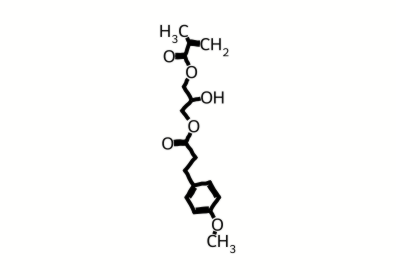 C=C(C)C(=O)OCC(O)COC(=O)CCc1ccc(OC)cc1